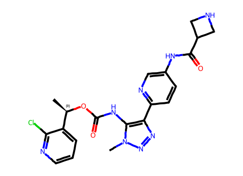 C[C@@H](OC(=O)Nc1c(-c2ccc(NC(=O)C3CNC3)cn2)nnn1C)c1cccnc1Cl